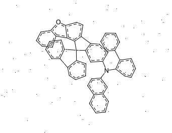 c1ccc(-c2ccccc2N(c2ccc3c(c2)C2(c4ccccc4-c4ccccc42)c2c-3ccc3oc4ccccc4c23)c2ccc3ccccc3c2)cc1